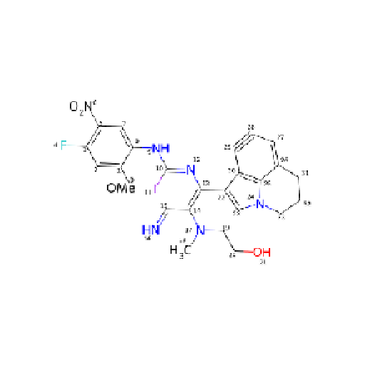 COc1cc(F)c([N+](=O)[O-])cc1N/C(I)=N/C(=C(\C=N)N(C)CCO)c1cn2c3c(cc#cc13)CCC2